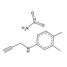 C#CCNc1ccc(C)c(C)c1.N[SH](=O)=O